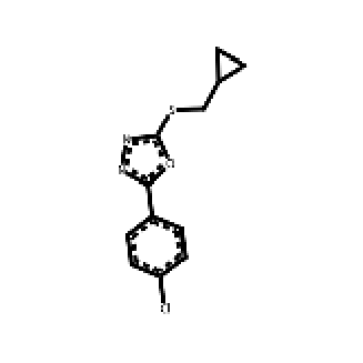 Clc1ccc(-c2nnc(SCC3CC3)o2)cc1